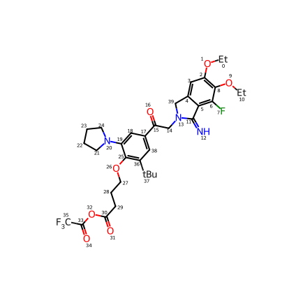 CCOc1cc2c(c(F)c1OCC)C(=N)N(CC(=O)c1cc(N3CCCC3)c(OCCCC(=O)OC(=O)C(F)(F)F)c(C(C)(C)C)c1)C2